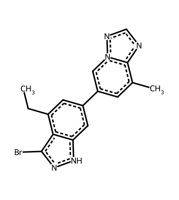 CCc1cc(-c2cc(C)c3ncnn3c2)cc2[nH]nc(Br)c12